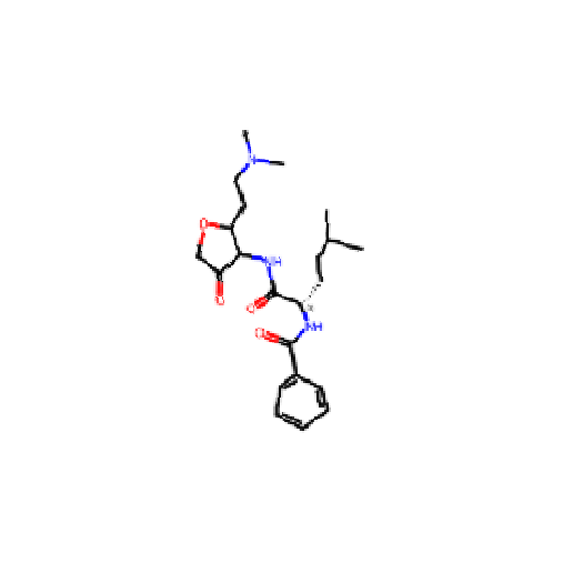 CC(C)CC[C@H](NC(=O)c1ccccc1)C(=O)NC1C(=O)COC1CCN(C)C